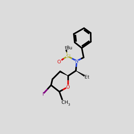 CC[C@@H]([C@@H]1CCC(I)C(C)O1)N(Cc1ccccc1)[S@@+]([O-])C(C)(C)C